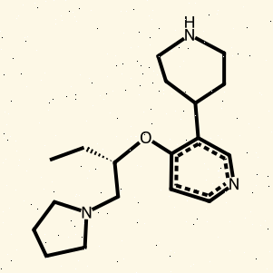 CC[C@@H](CN1CCCC1)Oc1ccncc1C1CCNCC1